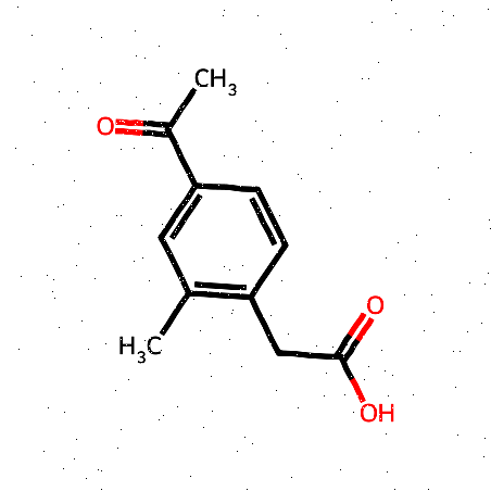 CC(=O)c1ccc(CC(=O)O)c(C)c1